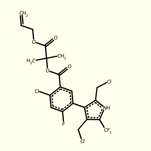 C=CCOC(=O)C(C)(C)OC(=O)c1cc(-c2c(CCl)[nH]c(C(F)(F)F)c2CCl)c(F)cc1Cl